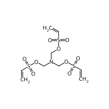 C=CS(=O)(=O)OCN(COS(=O)(=O)C=C)COS(=O)(=O)C=C